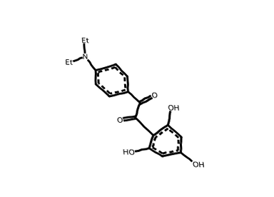 CCN(CC)c1ccc(C(=O)C(=O)c2c(O)cc(O)cc2O)cc1